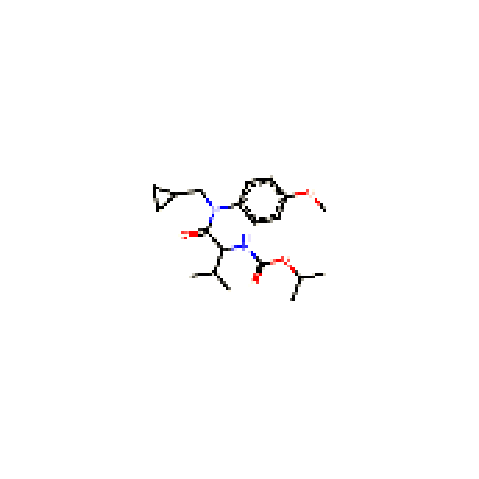 COc1ccc(N(CC2CC2)C(=O)[C@@H](NC(=O)OC(C)C)C(C)C)cc1